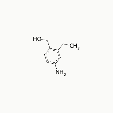 CCc1cc(N)ccc1CO